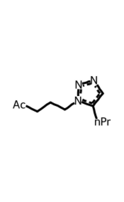 CCCc1cnnn1CCCC(C)=O